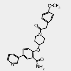 NC(=O)c1cc(-c2cccnc2)ccc1OC1CCN(C(=O)Cc2ccc(OC(F)(F)F)cc2)CC1